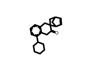 O=C1Cc2c(cccc2C2CCCCC2)CC12CC1C=CC2C1